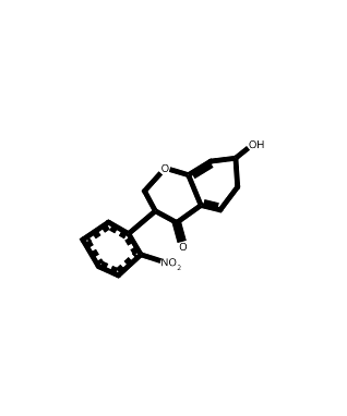 O=C1C2=CCC(O)C=C2OCC1c1ccccc1[N+](=O)[O-]